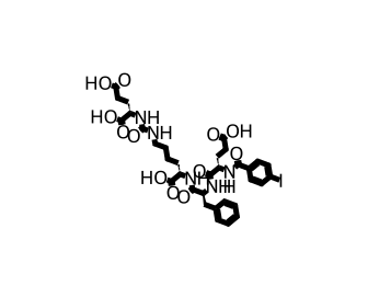 O=C(O)CC[C@H](NC(=O)NCCCC[C@H](NC(=O)[C@H](Cc1ccccc1)NC(=O)[C@H](CCC(=O)O)NC(=O)c1ccc(I)cc1)C(=O)O)C(=O)O